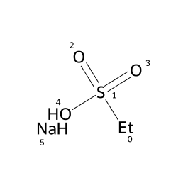 [CH2]CS(=O)(=O)O.[NaH]